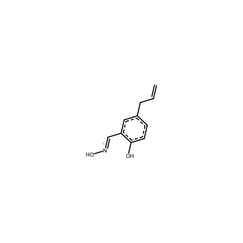 C=CCc1ccc(O)c(/C=N/O)c1